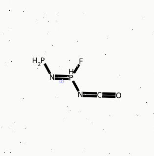 O=C=N/[PH](F)=N/P